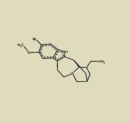 CCC1CC2CC3c4[nH]c5cc(Br)c(OC)cc5c4CCN(C2)C13